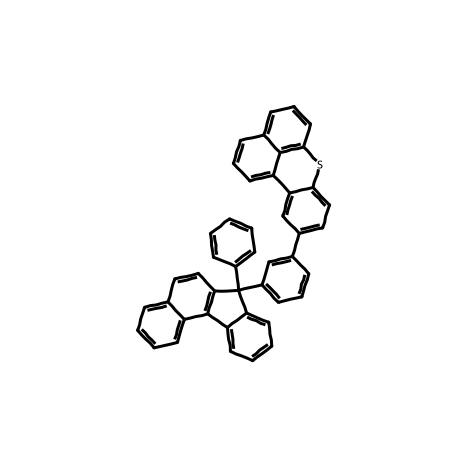 c1ccc(C2(c3cccc(-c4ccc5c(c4)-c4cccc6cccc(c46)S5)c3)c3ccccc3-c3c2ccc2ccccc32)cc1